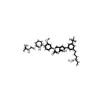 COc1cc(-n2cc3cc(-c4cc(CCC[C@@H](N)CF)cc(C(F)(F)F)c4)[nH]c3nc2=O)ccc1[C@@H]1CCC[C@@H](CCNC(C)=N)N1